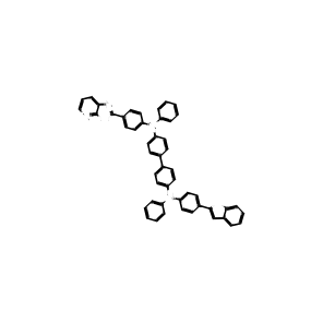 c1ccc(N(c2ccc(-c3ccc(N(c4ccccc4)c4ccc(-c5nc6cccnc6o5)cc4)cc3)cc2)c2ccc(-c3cc4ccccc4o3)cc2)cc1